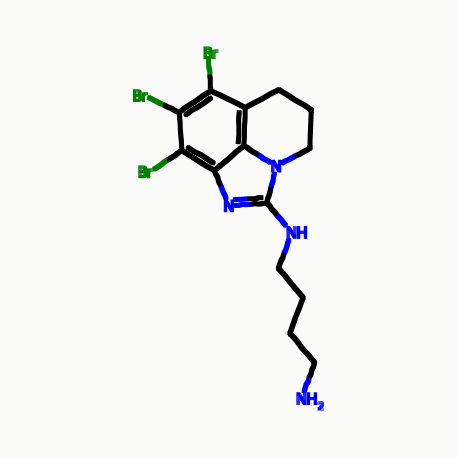 NCCCCNc1nc2c(Br)c(Br)c(Br)c3c2n1CCC3